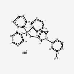 Br.Clc1cccc(-n2nnc(C[PH](c3ccccc3)(c3ccccc3)c3ccccc3)n2)c1